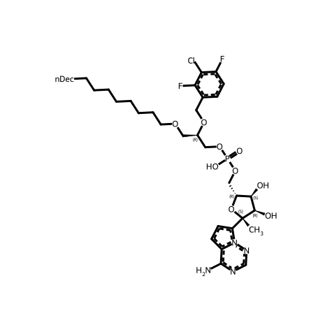 CCCCCCCCCCCCCCCCCCOC[C@H](COP(=O)(O)OC[C@H]1O[C@@](C)(c2ccc3c(N)ncnn23)[C@H](O)[C@@H]1O)OCc1ccc(F)c(Cl)c1F